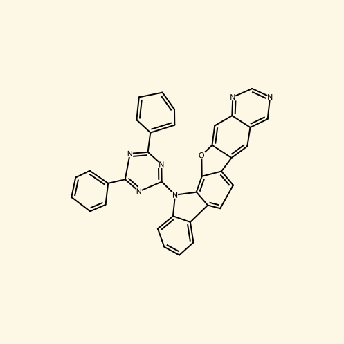 c1ccc(-c2nc(-c3ccccc3)nc(-n3c4ccccc4c4ccc5c6cc7cncnc7cc6oc5c43)n2)cc1